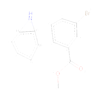 COC(=O)c1cccc(Br)c1.c1ccc2c(c1)N2